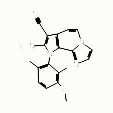 COc1ccc(C)c(-n2c(N)c(C#N)c3ccn4ccnc4c32)c1C